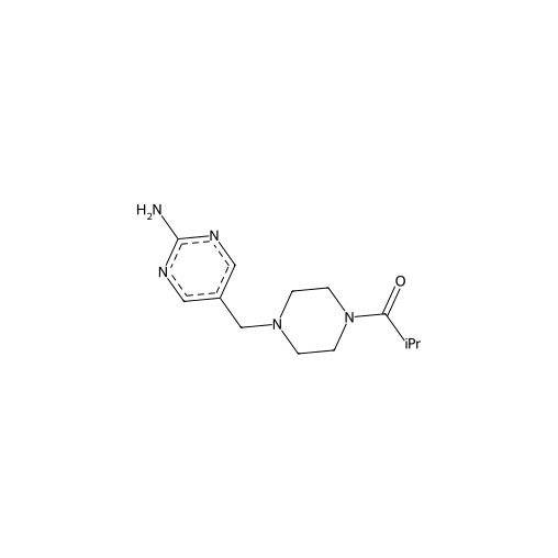 CC(C)C(=O)N1CCN(Cc2cnc(N)nc2)CC1